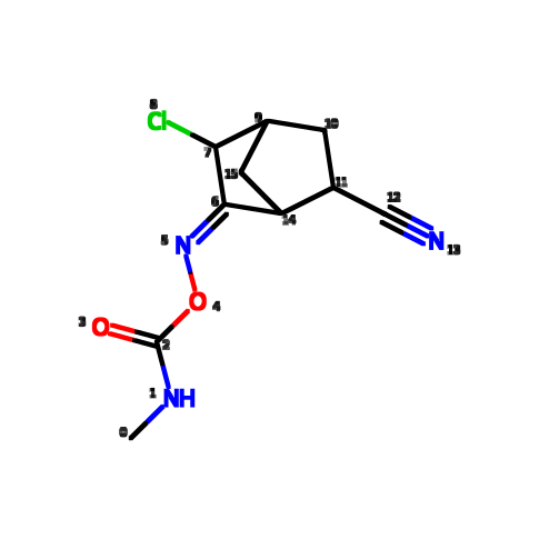 CNC(=O)O/N=C1/C(Cl)C2CC(C#N)C1C2